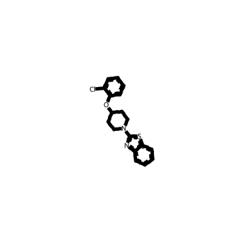 Clc1ccccc1OC1CCN(c2nc3ccccc3s2)CC1